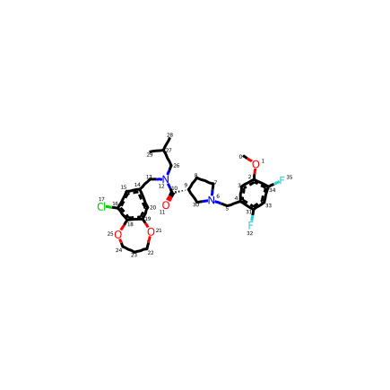 COc1cc(CN2CC[C@@H](C(=O)N(Cc3cc(Cl)c4c(c3)OCCCO4)CC(C)C)C2)c(F)cc1F